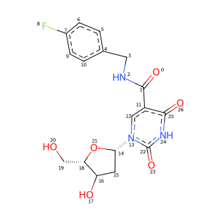 O=C(NCc1ccc(F)cc1)c1cn([C@@H]2CC(O)[C@H](CO)O2)c(=O)[nH]c1=O